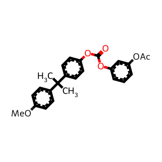 COc1ccc(C(C)(C)c2ccc(OC(=O)Oc3cccc(OC(C)=O)c3)cc2)cc1